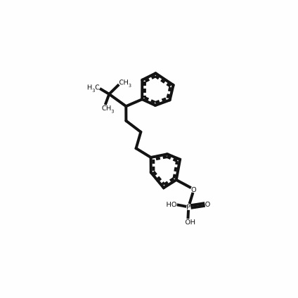 CC(C)(C)C(CCCc1ccc(OP(=O)(O)O)cc1)c1ccccc1